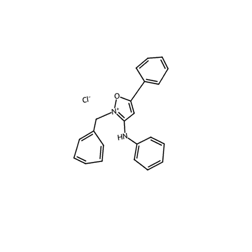 [Cl-].c1ccc(C[n+]2oc(-c3ccccc3)cc2Nc2ccccc2)cc1